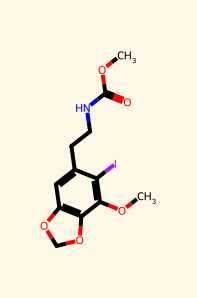 COC(=O)NCCc1cc2c(c(OC)c1I)OCO2